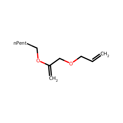 C=CCOCC(=C)OCCCCCC